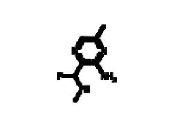 CPC(F)c1ncc(C)nc1N